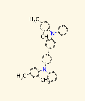 Cc1ccc(N(c2ccccc2)c2ccc(-c3ccc(N(c4ccccc4)c4ccc(C)cc4C)cc3)cc2)c(C)c1